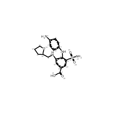 Nc1ccc(Nc2c(NCC3CCCO3)cc(C(=O)O)cc2S(N)(=O)=O)cc1